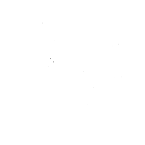 COC(=O)C1CN2CCCC2(C)CC1=O